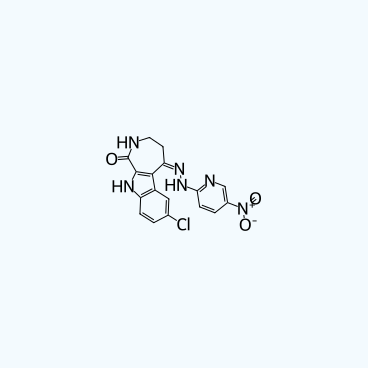 O=C1NCC/C(=N/Nc2ccc([N+](=O)[O-])cn2)c2c1[nH]c1ccc(Cl)cc21